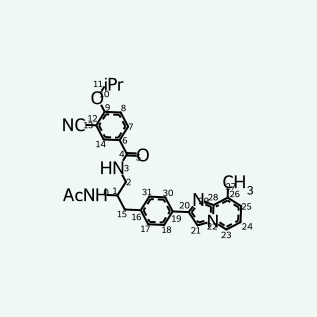 CC(=O)NC(CNC(=O)c1ccc(OC(C)C)c(C#N)c1)Cc1ccc(-c2cn3cccc(C)c3n2)cc1